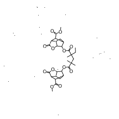 CCC(C)(CC(C)(C)C(=O)OC1C2CC3C1OC(=O)C3C2C(=O)OC)C(=O)OC1C2CC3C1OC(=O)C3C2C(=O)OC